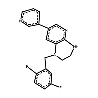 Fc1ccc(F)c(CN2CCNc3ncc(-c4cc[c]nc4)cc32)c1